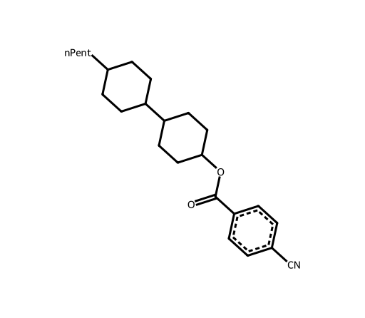 CCCCCC1CCC(C2CCC(OC(=O)c3ccc(C#N)cc3)CC2)CC1